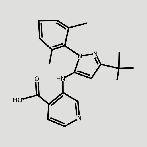 Cc1cccc(C)c1-n1nc(C(C)(C)C)cc1Nc1cnccc1C(=O)O